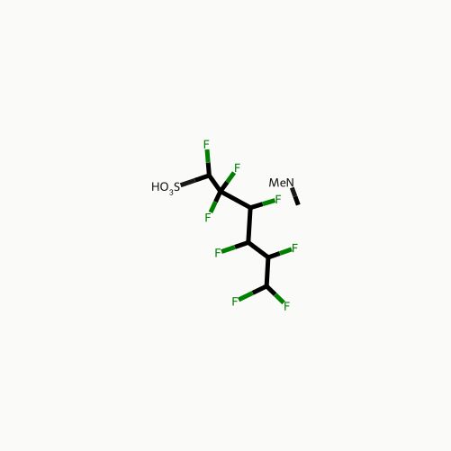 CNC.O=S(=O)(O)C(F)C(F)(F)C(F)C(F)C(F)C(F)F